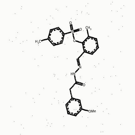 COc1cccc(CC(=O)NN=Cc2cccc(C)c2OS(=O)(=O)c2ccc(C)cc2)c1